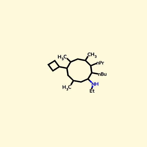 CCCCC1C(NCC)CC(C)CC(C2CCC2)C(C)CC(C)C1CCC